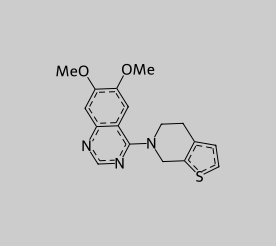 COc1cc2ncnc(N3CCc4ccsc4C3)c2cc1OC